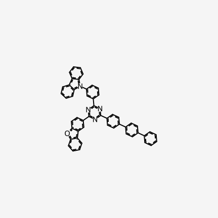 c1ccc(-c2ccc(-c3ccc(-c4nc(-c5cccc(-n6c7ccccc7c7ccccc76)c5)nc(-c5ccc6oc7ccccc7c6c5)n4)cc3)cc2)cc1